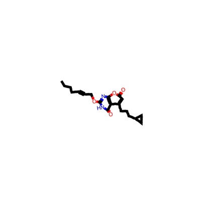 CCCCC#CCOc1nc2oc(=O)cc(CCCC3CC3)c2c(=O)[nH]1